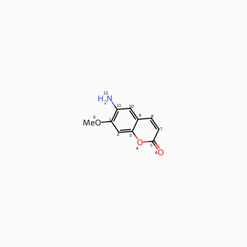 COc1cc2oc(=O)ccc2cc1N